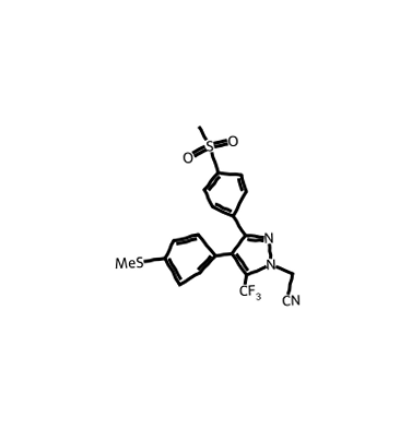 CSc1ccc(-c2c(-c3ccc(S(C)(=O)=O)cc3)nn(CC#N)c2C(F)(F)F)cc1